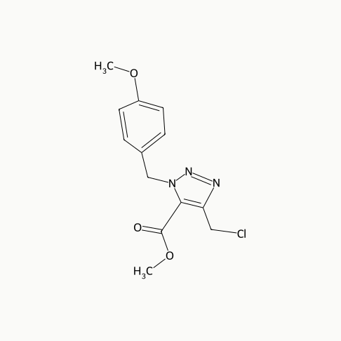 COC(=O)c1c(CCl)nnn1Cc1ccc(OC)cc1